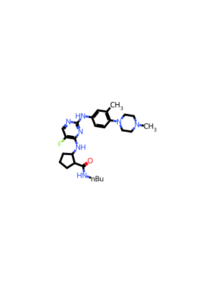 CCCCNC(=O)C1CCCC1Nc1nc(Nc2ccc(N3CCN(C)CC3)c(C)c2)ncc1F